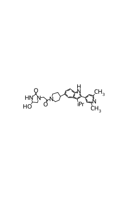 Cc1cc(-c2[nH]c3ccc(C4CCN(C(=O)CN5CC(O)NC5=O)CC4)cc3c2C(C)C)cc(C)n1